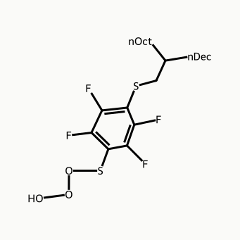 CCCCCCCCCCC(CCCCCCCC)CSc1c(F)c(F)c(SOOO)c(F)c1F